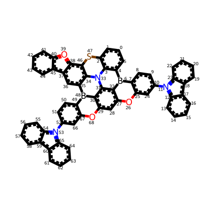 c1cc2c3c(c1)B1c4ccc(-n5c6ccccc6c6ccccc65)cc4Oc4cc5c6c(c41)N3c1c(cc3c(oc4ccccc43)c1S2)B6c1ccc(-n2c3ccccc3c3ccccc32)cc1O5